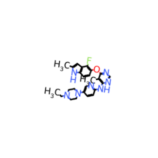 CCN1CCN(c2ccc(Nc3ncnc(Oc4ccc5[nH]c(C)cc5c4F)c3C)nc2)CC1